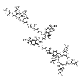 CC(C)(C)OC(=O)CC[C@H](CC(=O)CC(CCCCNC(=O)CCCCC[N+]1=C(/C=C/C=C2/N(CCCCCC(=O)Nc3ccc(CC4CN(CC(=O)OC(C)(C)C)CCN(CC(=O)OC(C)(C)C)CCN(CC(=O)OC(C)(C)C)CCN4CC(=O)OC(C)(C)C)cc3)c3ccc(S(=O)(=O)O)cc3C2(C)C)C(C)(C)c2cc(S(=O)(=O)O)ccc21)C(=O)OC(C)(C)C)C(=O)OC(C)(C)C